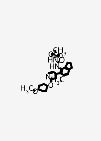 CO[C@H]1CC[C@H](Oc2cc(-c3c(C)cc4c(c3NC(=O)NS(C)(=O)=O)CCC4)ccn2)CC1